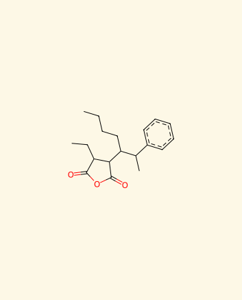 CCCCC(C(C)c1ccccc1)C1C(=O)OC(=O)C1CC